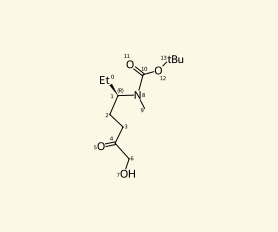 CC[C@H](CCC(=O)CO)N(C)C(=O)OC(C)(C)C